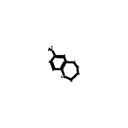 CC(=O)c1ccc2c(c1)CCCCS2